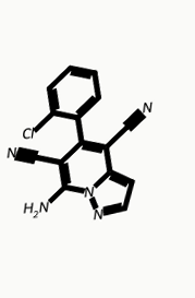 N#Cc1c(-c2ccccc2Cl)c(C#N)c2ccnn2c1N